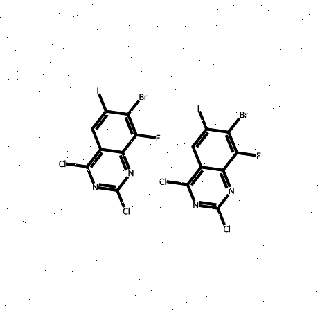 Fc1c(Br)c(I)cc2c(Cl)nc(Cl)nc12.Fc1c(Br)c(I)cc2c(Cl)nc(Cl)nc12